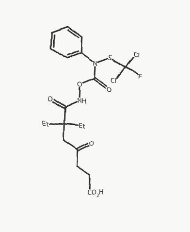 CCC(CC)(CC(=O)CCC(=O)O)C(=O)NOC(=O)N(SC(F)(Cl)Cl)c1ccccc1